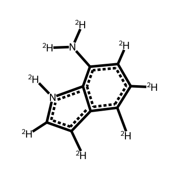 [2H]c1c([2H])c(N([2H])[2H])c2c(c1[2H])c([2H])c([2H])n2[2H]